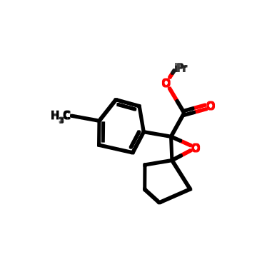 Cc1ccc(C2(C(=O)OC(C)C)OC23CCCC3)cc1